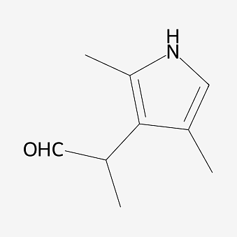 Cc1c[nH]c(C)c1C(C)C=O